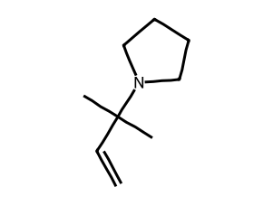 C=CC(C)(C)N1CCCC1